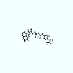 CC(=O)Nc1ccc(/C=C(\C)CNCCNS(=O)(=O)c2cccc3cnccc23)cc1